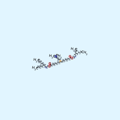 CCCCCC(C/C=C\COC(=O)CCCCCCCP(CCCCCCCC(=O)OC/C=C\CC(CCCCC)CCCCC)CCCCN(C)C)CCC